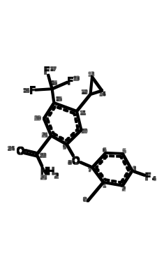 Cc1cc(F)ccc1Oc1cc(C2CC2)c(C(F)(F)F)cc1C(N)=O